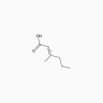 CCC/C(C)=C/C(=O)O